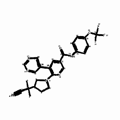 CC(C)(C#N)C1CCN(c2ncc(C(=O)Nc3ccc(OC(F)(F)F)cc3)cc2-c2cncnc2)C1